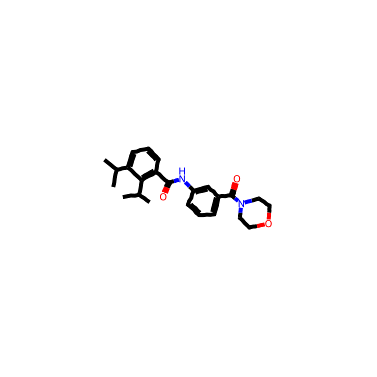 CC(C)c1cccc(C(=O)Nc2cccc(C(=O)N3CCOCC3)c2)c1C(C)C